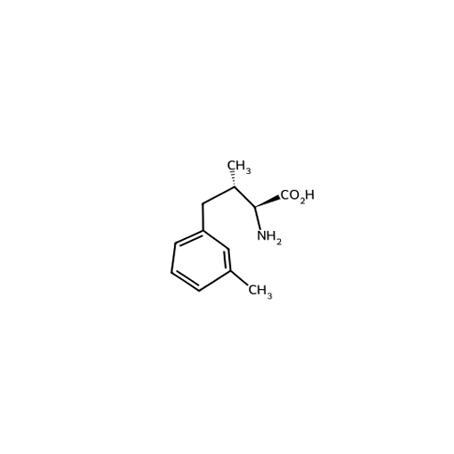 Cc1cccc(C[C@H](C)[C@H](N)C(=O)O)c1